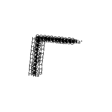 O=[Se](O)O.O=[Se](O)O.O=[Se](O)O.O=[Se](O)O.O=[Se](O)O.O=[Se](O)O.O=[Se](O)O.O=[Se](O)O.O=[Se](O)O.O=[Se](O)O.O=[Se](O)O.O=[Se](O)O.O=[Se](O)O.O=[Se](O)O.O=[Se](O)O.O=[Se](O)O.O=[Se](O)O.O=[Se](O)O.O=[Se](O)O.O=[Se]([O-])[O-].[Na+].[Na+]